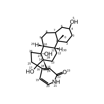 C[C@]12CCC(O)CC1CC[C@@H]1[C@H]2CC[C@]2(C)C(O)(c3cc[nH]c(=O)c3)CC[C@@]12O